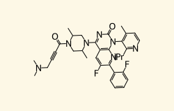 Cc1ccnc(C(C)C)c1-n1c(=O)nc(N2CC(C)N(C(=O)C#CCN(C)C)CC2C)c2cc(F)c(-c3ccccc3F)nc21